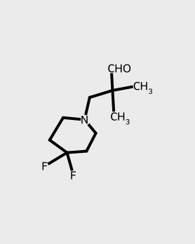 CC(C)(C=O)CN1CCC(F)(F)CC1